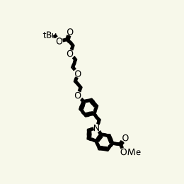 COC(=O)c1ccc2ccn(Cc3ccc(OCCOCCOCC(=O)OC(C)(C)C)cc3)c2c1